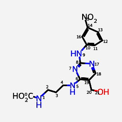 O=C(O)NCCCNc1nc(Nc2cccc([N+](=O)[O-])c2)ncc1CO